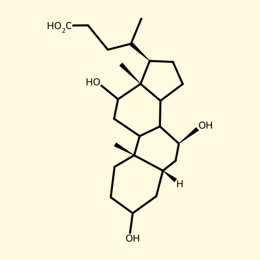 CC(CCC(=O)O)[C@H]1CCC2C3C(CC(O)[C@@]21C)[C@@]1(C)CCC(O)C[C@H]1C[C@@H]3O